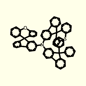 c1ccc(C2(c3ccccc3)c3ccccc3-c3ccc(N(c4ccc5c(c4)C4(c6ccccc6Oc6ccccc64)c4ccccc4-5)c4ccc5c(c4)C4(c6ccccc6Sc6ccccc64)c4ccccc4-5)cc32)cc1